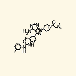 Cc1cccc(NC(=O)Nc2ccc(-c3nn(C4CCN(C(=O)CN(C)C)CC4)c4ncnc(N)c34)cc2F)c1